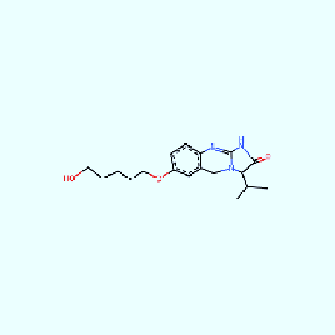 CC(C)C1C(=O)NC2=Nc3ccc(OCCCCCO)cc3CN21